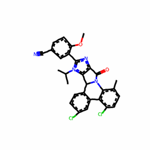 COc1ccc(C#N)cc1-c1nc2c(n1C(C)C)C1c3ccc(Cl)cc3-c3c(Cl)ccc(C)c3N1C2=O